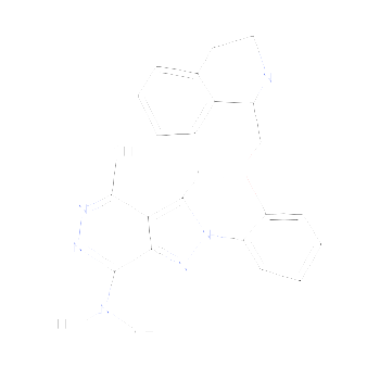 Cc1nnc(N(C)C)c2nn(-c3ccccc3OCC3NCCc4ccccc43)c(C)c12